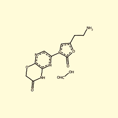 NCCc1cn(-c2cnc3c(n2)NC(=O)CO3)c(=O)o1.O=CO